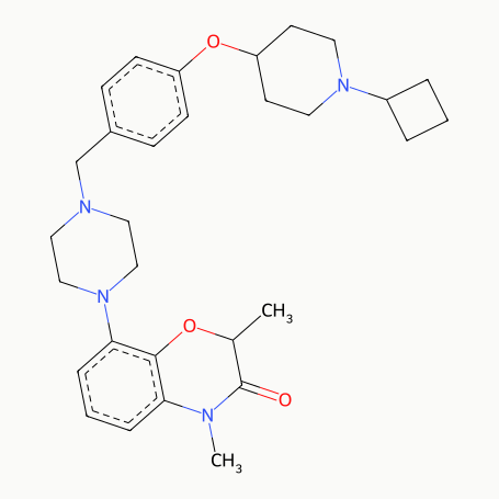 CC1Oc2c(N3CCN(Cc4ccc(OC5CCN(C6CCC6)CC5)cc4)CC3)cccc2N(C)C1=O